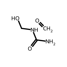 C=O.NC(=O)NCO